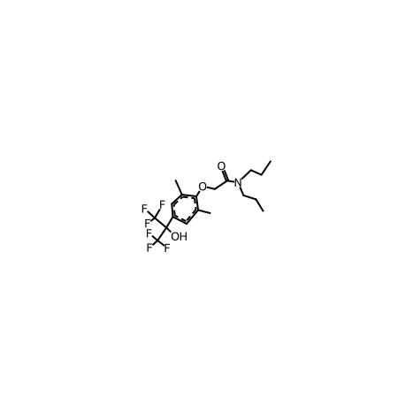 CCCN(CCC)C(=O)COc1c(C)cc(C(O)(C(F)(F)F)C(F)(F)F)cc1C